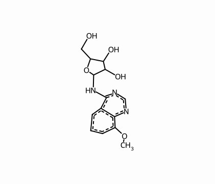 COc1cccc2c(NC3OC(CO)C(O)C3O)ncnc12